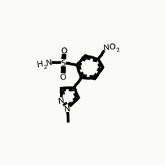 Cn1cc(-c2ccc([N+](=O)[O-])cc2S(N)(=O)=O)cn1